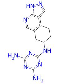 Nc1nc(N)nc(NC2CCc3c(cnc4[nH]ncc34)C2)n1